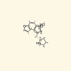 Cl.Cl.c1cc2c(ccc3cnn(C[C@@H]4CCCN4)c32)o1